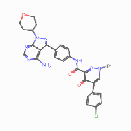 CC(C)n1cc(-c2ccc(Cl)cc2)c(=O)c(C(=O)Nc2ccc(-c3nn(C4CCOCC4)c4ncnc(N)c34)cc2)n1